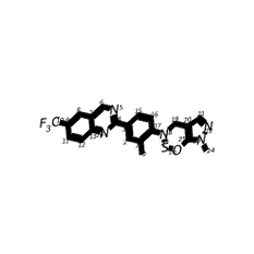 Cc1cc(-c2ncc3cc(C(F)(F)F)ccc3n2)ccc1N1Cc2cnn(C)c2OS1